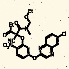 CCOCN(C)C(=O)C(C#N)(Oc1cc(Oc2cnc3cc(Cl)ccc3n2)ccc1[N+](=O)[O-])C(=O)CC